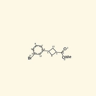 COC(=O)C1CC(c2cccc(Br)c2)C1